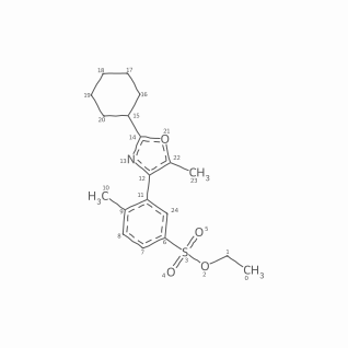 CCOS(=O)(=O)c1ccc(C)c(-c2nc(C3CCCCC3)oc2C)c1